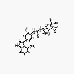 Nc1ncnc2[nH]nc(-c3ccc(NC(=O)Nc4cc(C5(C(F)(F)F)CC5)on4)c(F)c3)c12